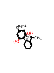 C=C(C)C1=CCCC[C@H]1c1c(O)cc(CCCCC)cc1O